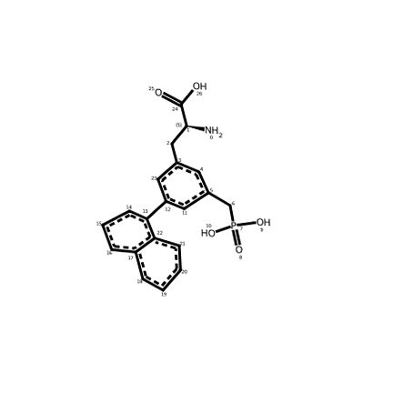 N[C@@H](Cc1cc(CP(=O)(O)O)cc(-c2cccc3ccccc23)c1)C(=O)O